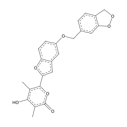 Cc1c(-c2cc3cc(OCc4ccc5c(c4)OOC5)ccc3o2)oc(=O)c(C)c1O